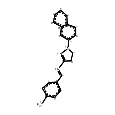 Cc1ccc(/C=N/C2=NN(c3ccc4ccccc4c3)CC2)cc1